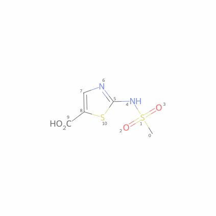 CS(=O)(=O)Nc1ncc(C(=O)O)s1